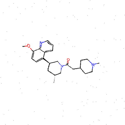 COc1ccc([C@@H]2C[C@@H](C)CN(C(=O)CC3CCN(C)CC3)C2)c2cccnc12